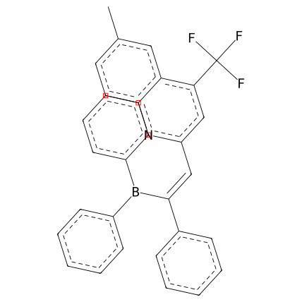 Cc1ccc2nc(/C=C(\B(c3ccccc3)c3ccccc3)c3ccccc3)cc(C(F)(F)F)c2c1